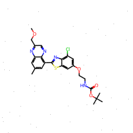 COCc1cnc2c(-c3nc4c(Cl)cc(OCCNC(=O)OC(C)(C)C)cc4s3)cc(C)cc2n1